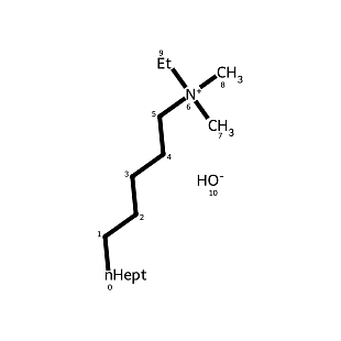 CCCCCCCCCCCC[N+](C)(C)CC.[OH-]